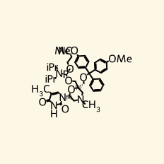 COc1ccc(C(OC[C@]2(COP(OCCC#N)N(C(C)C)C(C)C)CN(C)C[C@H](n3cc(C)c(=O)[nH]c3=O)O2)(c2ccccc2)c2ccc(OC)cc2)cc1